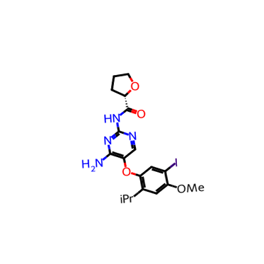 COc1cc(C(C)C)c(Oc2cnc(NC(=O)[C@@H]3CCCO3)nc2N)cc1I